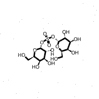 O=S(=O)(O[C@H]1O[C@H](CO)[C@H](O)[C@H](O)[C@H]1O)O[C@H]1O[C@H](CO)[C@H](O)[C@H](O)[C@H]1O